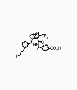 CC(NC(=O)c1c(C(F)(F)F)nn2c1N(Cc1cccc(CCCF)c1)CC2)c1ccc(C(=O)O)cc1